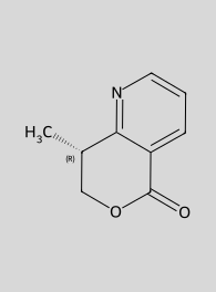 C[C@H]1COC(=O)c2cccnc21